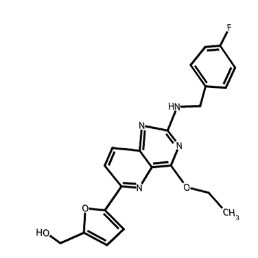 CCOc1nc(NCc2ccc(F)cc2)nc2ccc(-c3ccc(CO)o3)nc12